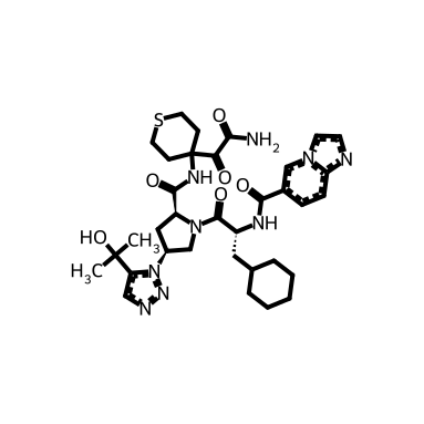 CC(C)(O)c1cnnn1[C@H]1C[C@@H](C(=O)NC2(C(=O)C(N)=O)CCSCC2)N(C(=O)[C@@H](CC2CCCCC2)NC(=O)c2ccc3nccn3c2)C1